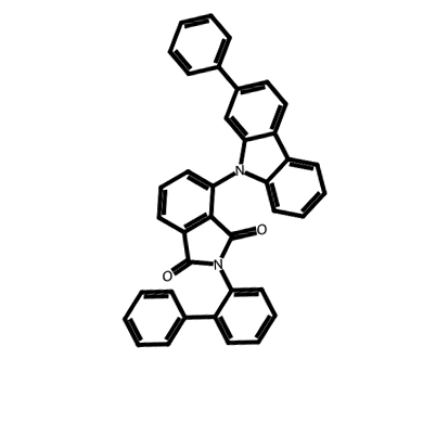 O=C1c2cccc(-n3c4ccccc4c4ccc(-c5ccccc5)cc43)c2C(=O)N1c1ccccc1-c1ccccc1